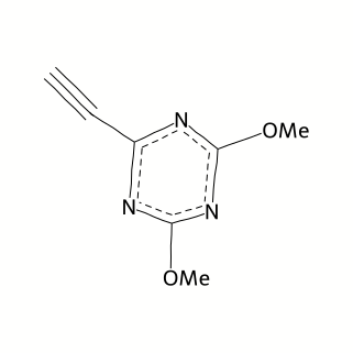 C#Cc1nc(OC)nc(OC)n1